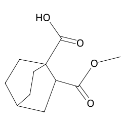 COC(=O)C1CC2CCC1(C(=O)O)CC2